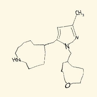 Cc1cc(C2CCNCC2)n(C2CCOC2)n1